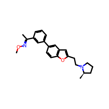 CON=C(C)c1cccc(-c2ccc3oc(CCN4CCC[C@H]4C)cc3c2)c1